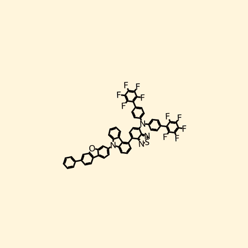 Fc1c(F)c(F)c(-c2ccc(N(c3ccc(-c4c(F)c(F)c(F)c(F)c4F)cc3)c3ccc(-c4cccc5c4c4ccccc4n5-c4ccc5c(c4)oc4cc(-c6ccccc6)ccc45)c4nsnc34)cc2)c(F)c1F